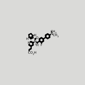 [2H]C(c1ccc(-c2ccc(N(C)C)cc2)cc1F)N(C(=O)[C@@H]1C[C@@H]2CC[C@H]1C2)c1cncc(/C=C/C(=O)O)c1